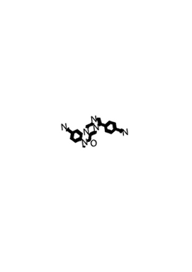 CN(C(=O)c1cn2c(-c3ccc(C#N)cc3)cnc2cn1)c1ccc(C#N)cc1